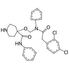 O=C(Cc1ccc(Cl)cc1Cl)N(COC1(C(=O)Nc2ccccc2)CCNCC1)c1ccccc1